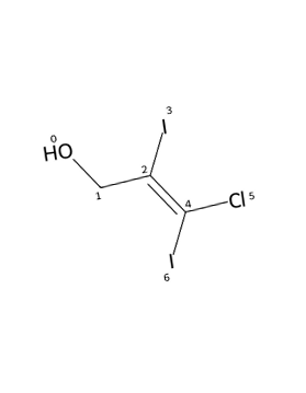 OCC(I)=C(Cl)I